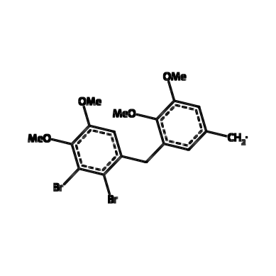 [CH2]c1cc(Cc2cc(OC)c(OC)c(Br)c2Br)c(OC)c(OC)c1